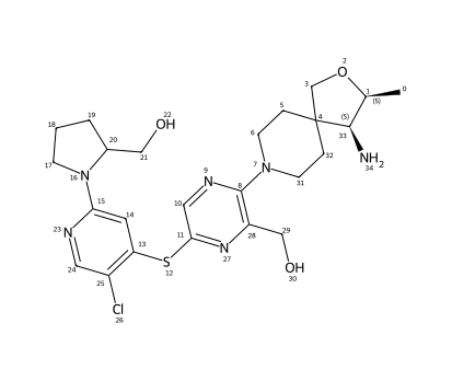 C[C@@H]1OCC2(CCN(c3ncc(Sc4cc(N5CCCC5CO)ncc4Cl)nc3CO)CC2)[C@@H]1N